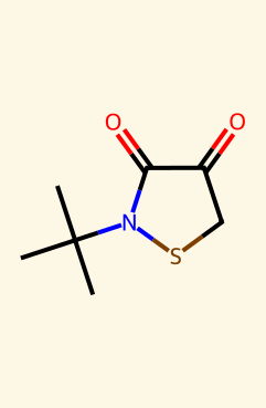 CC(C)(C)N1SCC(=O)C1=O